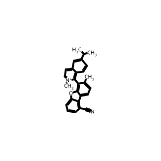 Cc1ccc2c(oc3cccc(C#N)c32)c1-c1c2ccc(C(C)C)cc2cc[n+]1C